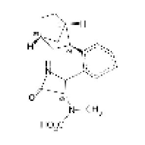 CN(C(=O)O)[C@@H]1C(=O)NC1c1ccccc1[C@H]1C[C@@H]2CC[C@H]1C2